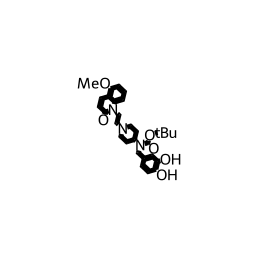 COc1cccc2c1ccc(=O)n2CCN1CCC(N(Cc2ccc(O)c(O)c2)C(=O)OC(C)(C)C)CC1